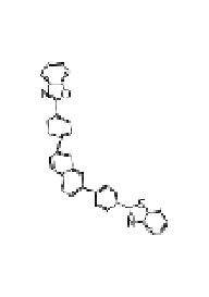 c1ccc2oc(-c3ccc(-c4ccc5ccc(-c6ccc(-c7nc8ccccc8s7)cc6)cc5c4)cc3)nc2c1